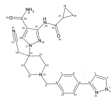 Cn1ccc(-c2ccc(CN3CCC(CC#N)(n4cc(C(N)=O)c(NC(=O)C5CC5)n4)CC3)cc2)n1